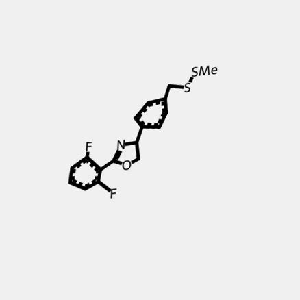 CSSCc1ccc(C2COC(c3c(F)cccc3F)=N2)cc1